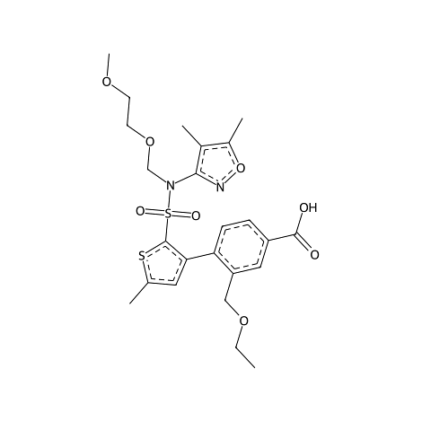 CCOCc1cc(C(=O)O)ccc1-c1cc(C)sc1S(=O)(=O)N(COCCOC)c1noc(C)c1C